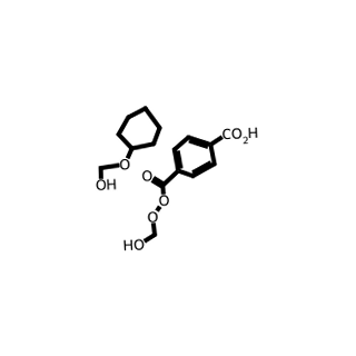 O=C(O)c1ccc(C(=O)OOCO)cc1.OCOC1CCCCC1